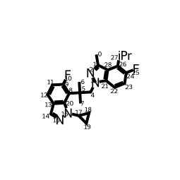 Cc1nn(CC(C)(C)c2c(F)ccc3cnn(C4CC4)c23)c2ccc(F)c(C(C)C)c12